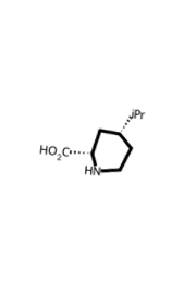 CC(C)[C@@H]1CCN[C@H](C(=O)O)C1